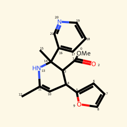 COC(=O)C1C(c2ccco2)C=C(C)NC1(C)c1cccnc1